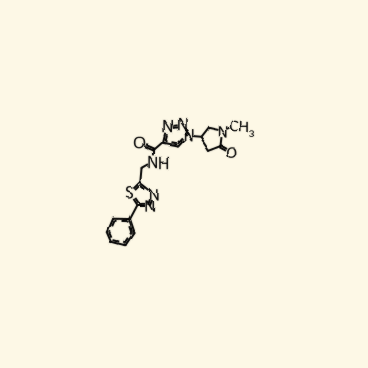 CN1CC(n2cc(C(=O)NCc3nnc(-c4ccccc4)s3)nn2)CC1=O